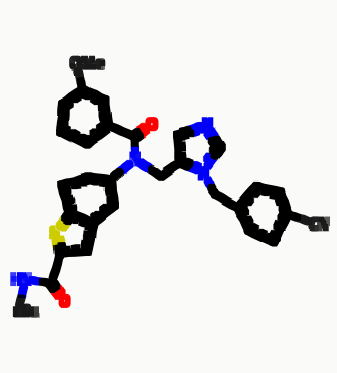 CCCCNC(=O)c1cc2cc(N(Cc3cncn3Cc3ccc(C#N)cc3)C(=O)c3cccc(OC)c3)ccc2s1